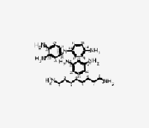 NCCCCCCCCN.Nc1ccc(N)cc1.Nc1cccc(N)c1.Nc1ccccc1N